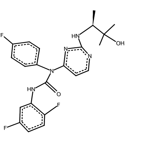 C[C@H](Nc1nccc(N(C(=O)Nc2cc(F)ccc2F)c2ccc(F)cc2)n1)C(C)(C)O